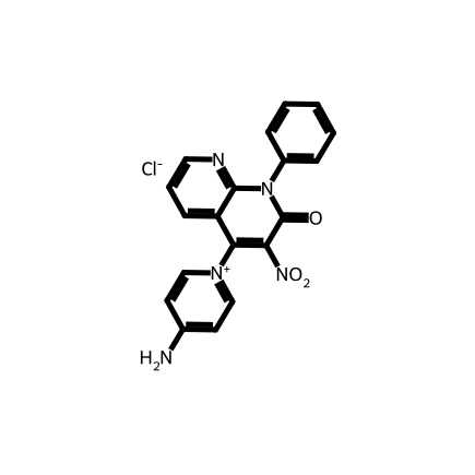 Nc1cc[n+](-c2c([N+](=O)[O-])c(=O)n(-c3ccccc3)c3ncccc23)cc1.[Cl-]